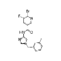 Cc1cccc(Cn2cnc(NC(=O)c3cnc(Br)c(F)c3)c2)c1